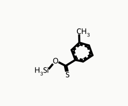 Cc1cccc(C(=S)O[SiH3])c1